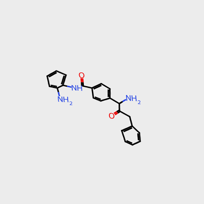 Nc1ccccc1NC(=O)c1ccc(C(N)C(=O)Cc2ccccc2)cc1